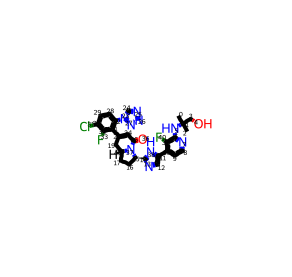 CC(C)(CO)Nc1nccc(-c2cnc([C@@H]3CC[C@@H]4CC(c5c(-n6cnnn6)ccc(Cl)c5F)=CC(=O)N43)[nH]2)c1F